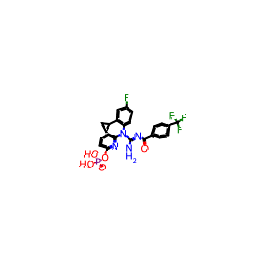 N/C(=N\C(=O)c1ccc(C(F)(F)F)cc1)N(c1cccc(OP(=O)(O)O)n1)c1ccc(F)cc1C1CC1